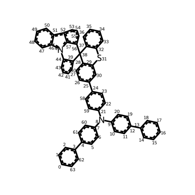 c1ccc(-c2ccc(N(c3ccc(-c4ccccc4)cc3)c3ccc(-c4ccc5c(c4)Sc4ccccc4C54c5ccccc5-n5c6ccccc6c6cccc4c65)cc3)cc2)cc1